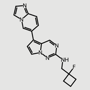 FC1(CNc2ncc3c(-c4ccc5nccn5c4)ccn3n2)CCC1